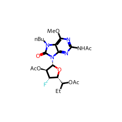 CCCCn1c(=O)n([C@@H]2O[C@H](C(CC)OC(C)=O)[C@H](F)[C@H]2OC(C)=O)c2nc(NC(C)=O)nc(OC)c21